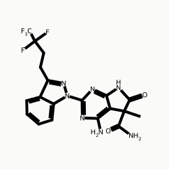 CC1(C(N)=O)C(=O)Nc2nc(-n3nc(CCC(F)(F)C(F)(F)F)c4ccccc43)nc(N)c21